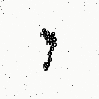 CCc1cn(CCOCCOCCOCC(=O)Nc2cccc3c2C(=O)N(C2CCC(=O)NC2=O)C3=O)nn1